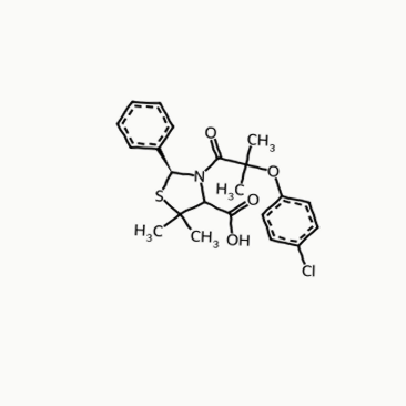 CC(C)(Oc1ccc(Cl)cc1)C(=O)N1C(C(=O)O)C(C)(C)S[C@H]1c1ccccc1